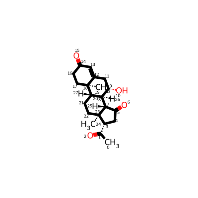 CC(=O)[C@H]1CC(=O)[C@H]2[C@@H]3[C@@H](O)CC4=CC(=O)CC[C@]4(C)[C@H]3CC[C@]12C